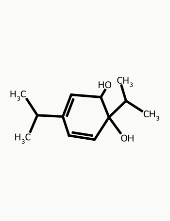 CC(C)C1=CC(O)C(O)(C(C)C)C=C1